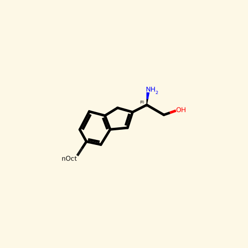 CCCCCCCCc1ccc2c(c1)C=C([C@@H](N)CO)C2